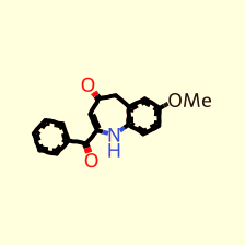 COc1ccc2c(c1)CC(=O)C=C(C(=O)c1ccccc1)N2